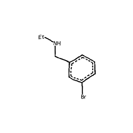 CCNCc1cccc(Br)c1